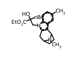 CCCCC(O)(Cn1c2c(c3cc(C)ccc31)C1CCC(C2)N1C)C(=O)OCC